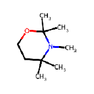 CN1C(C)(C)CCOC1(C)C